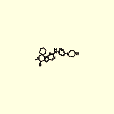 CN1CC2(CCCCC2)n2c(cc3cnc(Nc4ccc(N5CCNCC5)cn4)nc32)C1=O